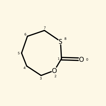 O=C1OCCCCCS1